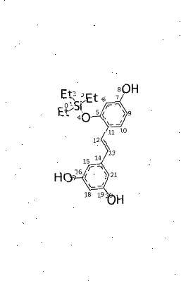 CC[Si](CC)(CC)Oc1cc(O)ccc1C=Cc1cc(O)cc(O)c1